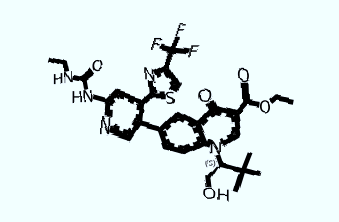 CCNC(=O)Nc1cc(-c2nc(C(F)(F)F)cs2)c(-c2ccc3c(c2)c(=O)c(C(=O)OCC)cn3[C@H](CO)C(C)(C)C)cn1